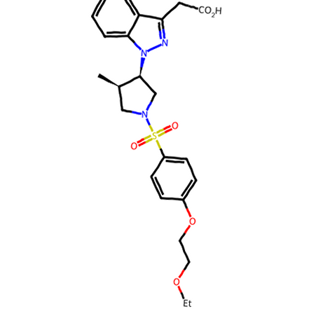 CCOCCOc1ccc(S(=O)(=O)N2C[C@@H](C)[C@@H](n3nc(CC(=O)O)c4ccccc43)C2)cc1